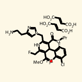 COC(=O)C1=C(CF)NC(Cn2cnc(CCN)c2)=C(C(=O)OC(C)C)C1c1c(F)ccc(Cl)c1C(F)(F)F.O=C(O)C=CC(=O)O.O=C(O)C=CC(=O)O